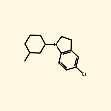 CCc1ccc2c(c1)CCN2C1CCCC(C)C1